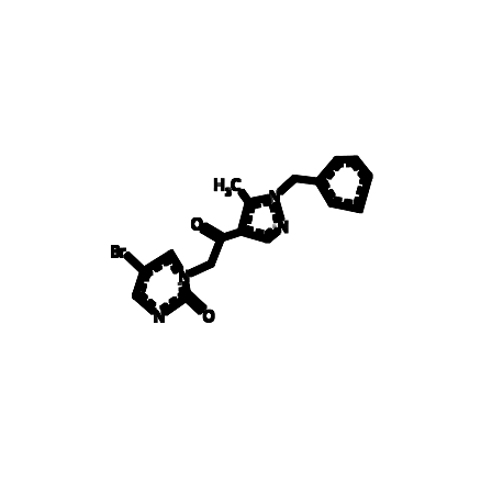 Cc1c(C(=O)Cn2cc(Br)cnc2=O)cnn1Cc1ccccc1